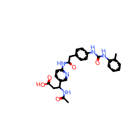 CC(=O)NC(CC(=O)O)c1ccc(NC(=O)Cc2ccc(NC(=O)Nc3ccccc3C)cc2)nc1